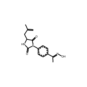 C=C(C)CC1NC(=O)N(c2ccc(C(C)=NO)cc2)C1=O